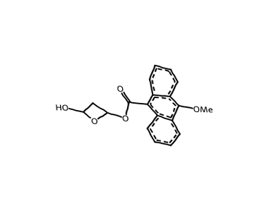 COc1c2ccccc2c(C(=O)OC2CC(O)O2)c2ccccc12